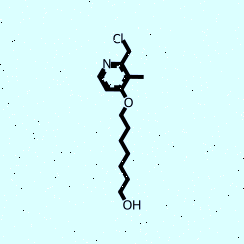 Cc1c(OCCCCCCCO)ccnc1CCl